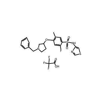 Cc1cc(S(=O)(=O)Nc2cscn2)c(F)cc1OC1CCN(Cc2ccccc2)C1.O=C(O)C(F)(F)F